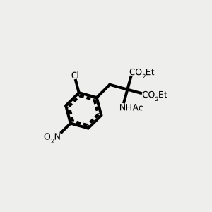 CCOC(=O)C(Cc1ccc([N+](=O)[O-])cc1Cl)(NC(C)=O)C(=O)OCC